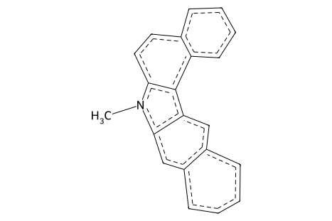 Cn1c2cc3ccccc3cc2c2c3ccccc3ccc21